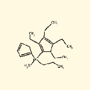 [CH2]C[CH2][Zr]([SiH3])([C]1=CC=CC1)[C]1=C(CC)C(CC)=C(CC)C1CC